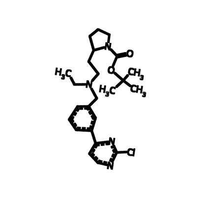 CCN(CCC1CCCN1C(=O)OC(C)(C)C)Cc1cccc(-c2ccnc(Cl)n2)c1